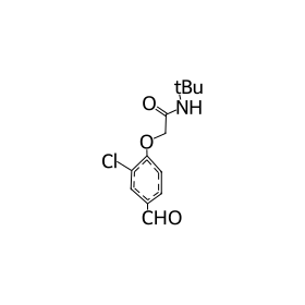 CC(C)(C)NC(=O)COc1ccc(C=O)cc1Cl